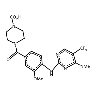 CNc1nc(Nc2ccc(C(=O)N3CCN(C(=O)O)CC3)cc2OC)ncc1C(F)(F)F